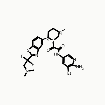 CCc1cc(NC(=O)C(=O)N2C[C@@H](C)CC[C@@H]2c2ccc3sc(C(F)(F)CN(C)C)nc3c2)cnc1N